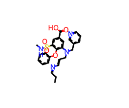 CC/C=N\C=C\CN(Cc1cccnc1)c1cc(C(=O)O)cc(S(=O)(=O)NC)c1Oc1ccccc1